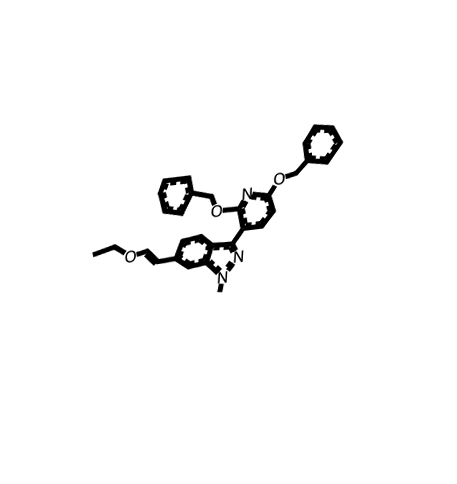 CCO/C=C/c1ccc2c(-c3ccc(OCc4ccccc4)nc3OCc3ccccc3)nn(C)c2c1